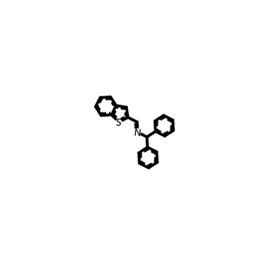 C(=N\C(c1ccccc1)c1ccccc1)/c1cc2ccccc2s1